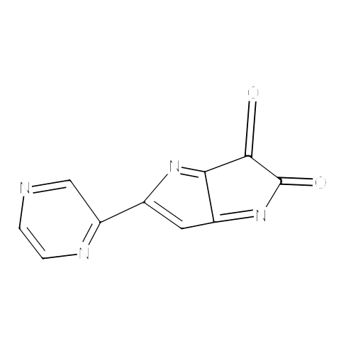 O=c1nc2cc(-c3cnccn3)nc-2c1=O